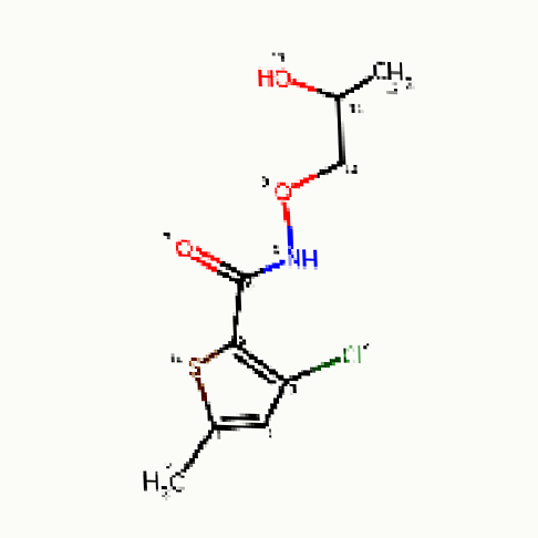 Cc1cc(Cl)c(C(=O)NOCC(C)O)s1